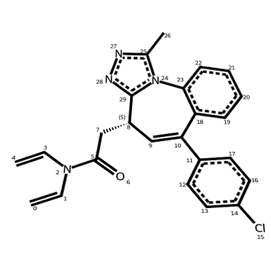 C=CN(C=C)C(=O)C[C@H]1C=C(c2ccc(Cl)cc2)c2ccccc2-n2c(C)nnc21